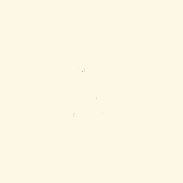 CNCc1noc(=O)[nH]1